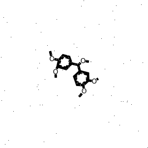 [CH2]OC(c1ccc(OC)c(OC)c1)c1ccc(OC)c(OC)c1